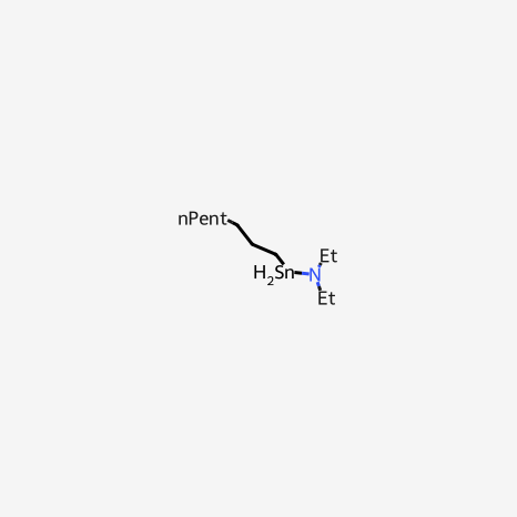 CCCCCCC[CH2][SnH2][N](CC)CC